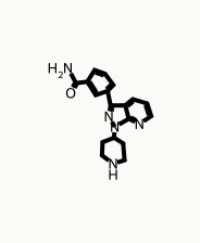 NC(=O)c1cccc(-c2nn(C3CCNCC3)c3ncccc23)c1